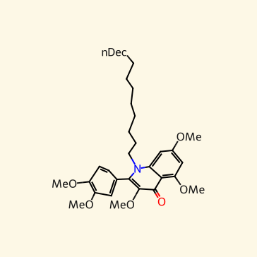 CCCCCCCCCCCCCCCCCCn1c(-c2ccc(OC)c(OC)c2)c(OC)c(=O)c2c(OC)cc(OC)cc21